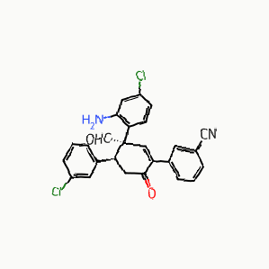 N#Cc1cccc(C2=C[C@](C=O)(c3ccc(Cl)cc3N)[C@H](c3cccc(Cl)c3)CC2=O)c1